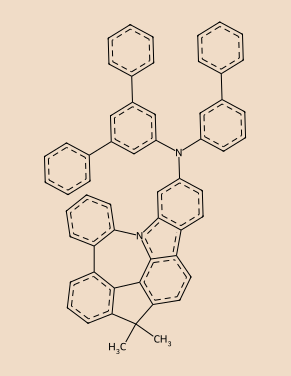 CC1(C)c2cccc3c2-c2c1ccc1c4ccc(N(c5cccc(-c6ccccc6)c5)c5cc(-c6ccccc6)cc(-c6ccccc6)c5)cc4n(c21)-c1ccccc1-3